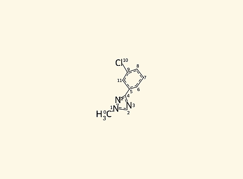 Cn1cnc(-c2cccc(Cl)c2)n1